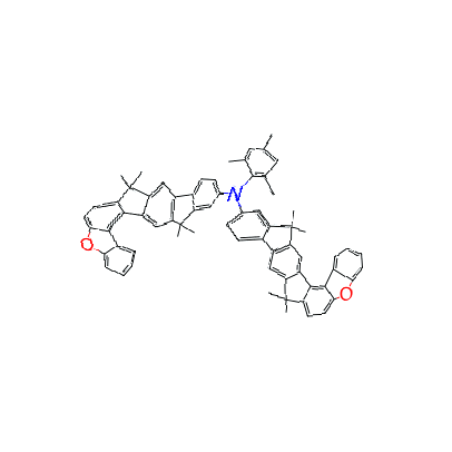 Cc1cc(C)c(N(c2ccc3c(c2)C(C)(C)c2cc4c(cc2-3)C(C)(C)c2ccc3oc5ccccc5c3c2-4)c2ccc3c(c2)C(C)(C)c2cc4c(cc2-3)C(C)(C)c2ccc3oc5ccccc5c3c2-4)c(C)c1